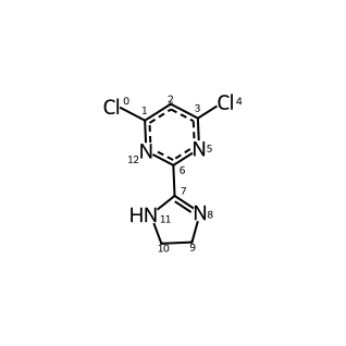 Clc1cc(Cl)nc(C2=NCCN2)n1